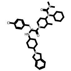 CC1CN(C(=O)[C@@H](Cc2ccc(Cl)cc2)NC2CCC(N3Cc4ccccc4C3)CC2)CCC1N(C(=O)N(C)C)C1CCCCC1